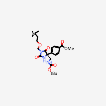 COC(=O)c1ccc([C@]2(CNC(=O)OC(C)(C)C)NC(=O)N(COCC[Si](C)(C)C)C2=O)cc1